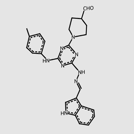 Cc1ccc(Nc2nc(N/N=C/c3c[nH]c4ccccc34)nc(N3CCC(C=O)CC3)n2)cc1